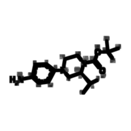 CC(C)[C@H]1CN(c2ccc(N)cc2)CCN1C(=O)OC(C)(C)C